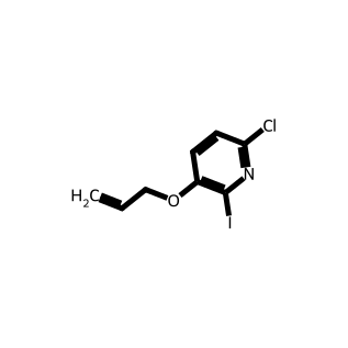 C=CCOc1ccc(Cl)nc1I